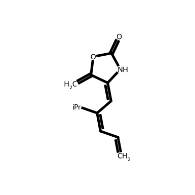 C=C/C=C(\C=c1\[nH]c(=O)oc1=C)C(C)C